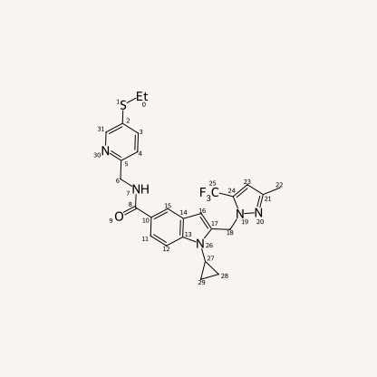 CCSc1ccc(CNC(=O)c2ccc3c(c2)cc(Cn2nc(C)cc2C(F)(F)F)n3C2CC2)nc1